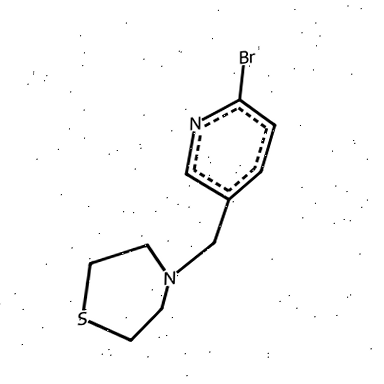 Brc1ccc(CN2CCSCC2)cn1